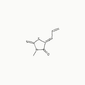 C=CC=C1SC(=S)N(C)C1=O